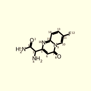 NC(=O)C(N)c1cc(=O)n2cc(F)ccc2n1